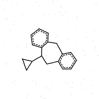 c1ccc2c(c1)Cc1ccccc1C(C1CC1)C2